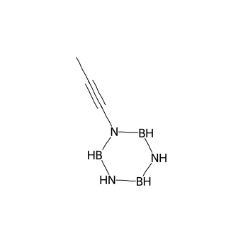 CC#CN1BNBNB1